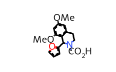 COc1cc2c(c(OC)c1)C(c1ccco1)N(C(=O)O)CC2